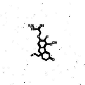 CCCC12CCC(=O)C=C1c1c(cc(OCC(=N)NN)c(Cl)c1Cl)C2.Cl